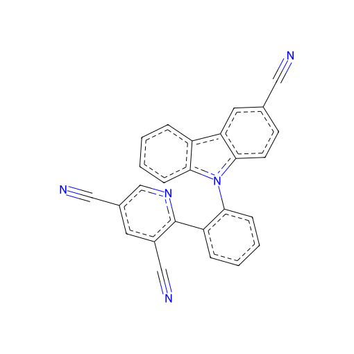 N#Cc1cnc(-c2ccccc2-n2c3ccccc3c3cc(C#N)ccc32)c(C#N)c1